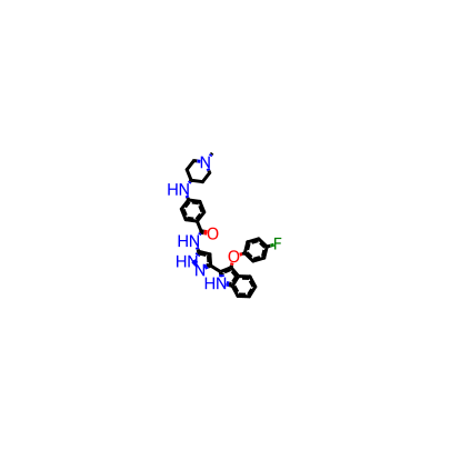 CN1CCC(Nc2ccc(C(=O)Nc3cc(-c4[nH]c5ccccc5c4Oc4ccc(F)cc4)n[nH]3)cc2)CC1